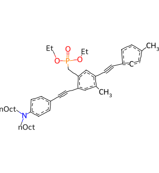 CCCCCCCCN(CCCCCCCC)c1ccc(C#Cc2cc(C)c(C#Cc3ccc(C)cc3)cc2CP(=O)(OCC)OCC)cc1